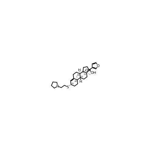 C[C@]12CC[C@H]3[C@@H](CCC4=C[C@@H](SCCN5CCCC5)CC[C@@]43C)[C@@]1(O)CC[C@]2(O)c1ccoc1